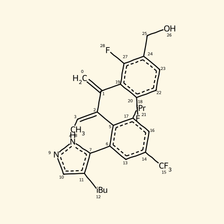 C=C(/C(=C/C)c1c(-c2[nH]ncc2C(C)CC)cc(C(F)(F)F)cc1C(C)C)c1c(F)ccc(CO)c1F